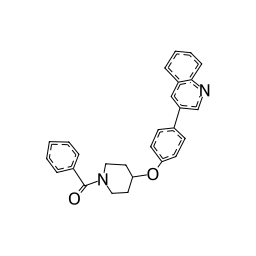 O=C(c1ccccc1)N1CCC(Oc2ccc(-c3cnc4ccccc4c3)cc2)CC1